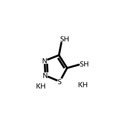 Sc1nnsc1S.[KH].[KH]